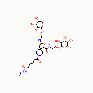 CCNC(=O)CCCCC(=O)N1CCC(CC(=O)NCCO[C@@H]2O[C@@H](C)[C@@H](O)[C@@H](O)[C@@H]2O)(CC(=O)NCCO[C@@H]2O[C@@H](C)[C@@H](O)[C@@H](O)[C@@H]2O)CC1